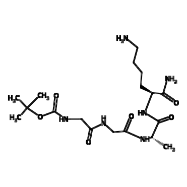 C[C@H](NC(=O)CNC(=O)CNC(=O)OC(C)(C)C)C(=O)N[C@@H](CCCCN)C(N)=O